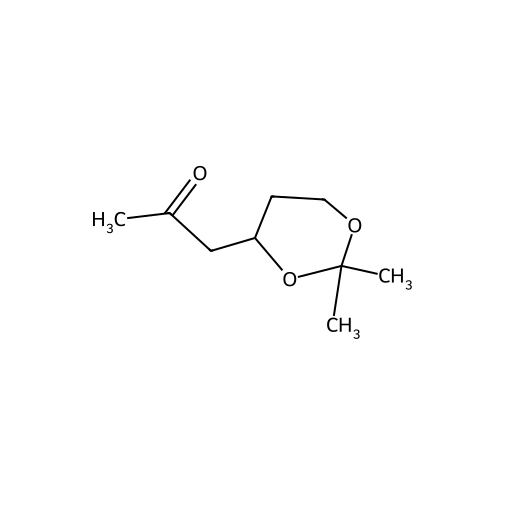 CC(=O)CC1CCOC(C)(C)O1